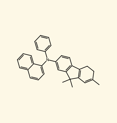 CC1=CC2=C(CC1)c1ccc(N(c3ccccc3)c3cccc4ccccc34)cc1C2(C)C